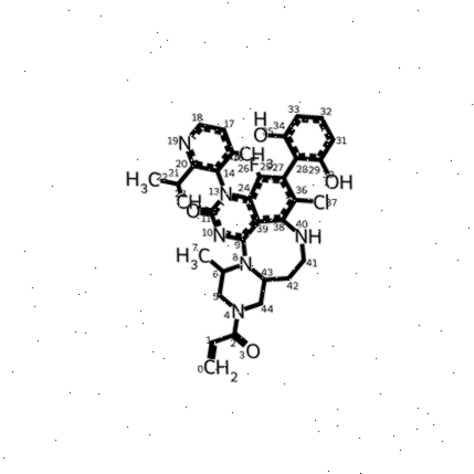 C=CC(=O)N1CC(C)N2c3nc(=O)n(-c4c(C)ccnc4C(C)C)c4c(F)c(-c5c(O)cccc5O)c(Cl)c(c34)NCCC2C1